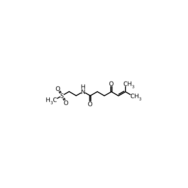 CC(C)=CC(=O)CCC(=O)NCCS(C)(=O)=O